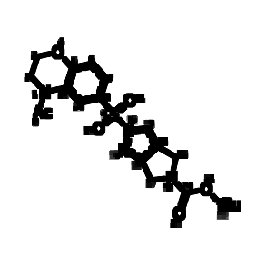 CC(=O)N1CCOc2ccc(S(=O)(=O)n3cc4c(n3)CN(C(=O)OC(C)(C)C)C4)cc21